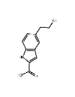 O=C(O)c1cc2cc(CCO)ccc2[nH]1